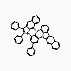 C1=CC2=Cc3c(c4cccc5c4n3-c3cc(-c4ccccc4)cc4c3B5c3c5ccccc5cc5c(-c6ccccc6)c(-c6ccccc6)n-4c35)CC2C=C1